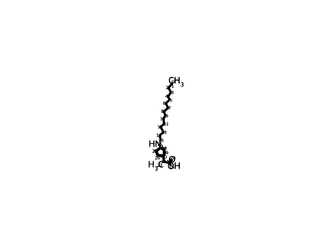 CCCCCCCCCCCCCCCCNc1ccc(C(C)C(=O)O)cc1